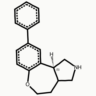 c1ccc(-c2ccc3c(c2)[C@H]2CNCC2CCO3)cc1